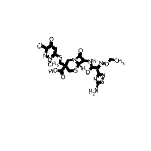 CCON=C(C(=O)NC1C(=O)N2CC(CSc3cc(=O)c(Cl)nn3C)(C(=O)O)CS[C@H]12)c1nsc(N)n1